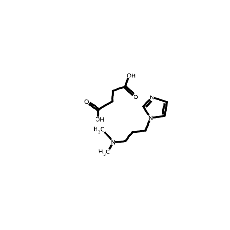 CN(C)CCCn1ccnc1.O=C(O)CCC(=O)O